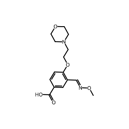 CON=Cc1cc(C(=O)O)ccc1OCCN1CCOCC1